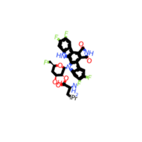 CC(C)C[C@H](N)C(=O)O[C@H]1[C@H](n2c3cc(F)c(F)cc3c3c4c(c5c6cc(F)c(F)cc6[nH]c5c32)C(=O)NC4=O)O[C@H](CF)C[C@@H]1O